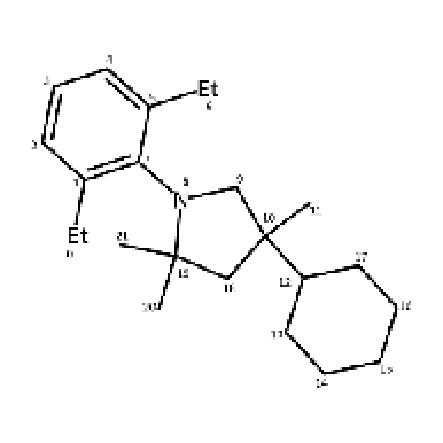 CCc1cccc(CC)c1N1CC(C)(C2CCCCC2)CC1(C)C